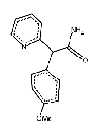 COc1ccc(C(C(N)=O)c2ccccn2)cc1